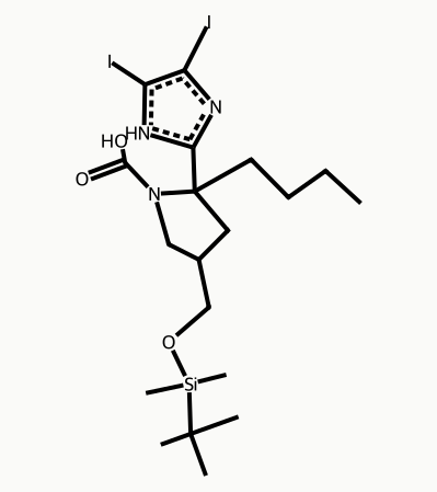 CCCCC1(c2nc(I)c(I)[nH]2)CC(CO[Si](C)(C)C(C)(C)C)CN1C(=O)O